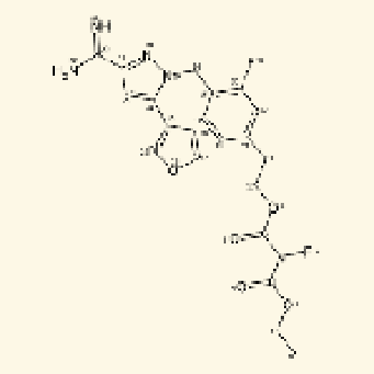 CCOC(=O)C(F)C(=O)OCCc1ccc(Cn2nc(C(=N)N)cc2-c2ccon2)c(F)c1